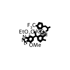 CCOC(=O)CC(c1ccc(C)c(CN2CC(C)Cc3ccc(C(F)(F)F)cc3S2(O)O)c1)c1cc(OC)c2c(c1)nnn2C